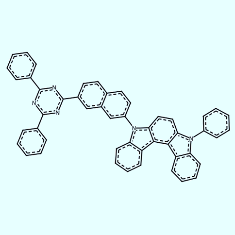 c1ccc(-c2nc(-c3ccccc3)nc(-c3ccc4ccc(-n5c6ccccc6c6c7c8ccccc8n(-c8ccccc8)c7ccc65)cc4c3)n2)cc1